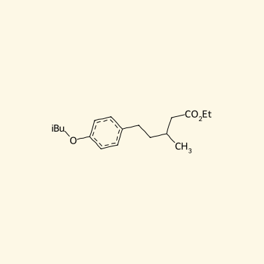 CCOC(=O)CC(C)CCc1ccc(OC(C)CC)cc1